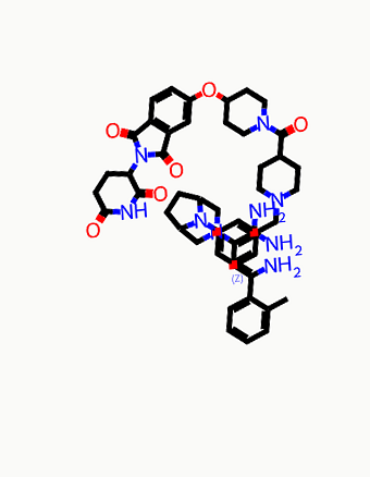 Cc1ccccc1/C(N)=C/C(=C(N)N)N1CC2CCC(C1)N2c1cccc(CN2CCC(C(=O)N3CCC(Oc4ccc5c(c4)C(=O)N(C4CCC(=O)NC4=O)C5=O)CC3)CC2)c1